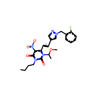 CCCCn1c(=O)c([N+](=O)[O-])c(/C=C/c2cnn(Cc3ccccc3F)c2)n(C(C)OC)c1=O